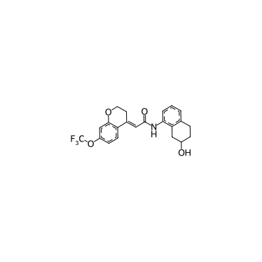 O=C(C=C1CCOc2cc(OC(F)(F)F)ccc21)Nc1cccc2c1CC(O)CC2